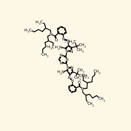 CCCCC(CC)CN(CC(CC)CCCC)C(=O)c1ccccc1/N=N/c1c(C(C)(C)C)nn(-c2ncnc(-n3nc(C(C)(C)C)c(/N=N/c4ccccc4C(=O)N(CC(CC)CCCC)CC(CC)CCCC)c3N)n2)c1N